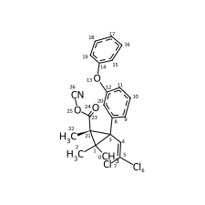 CC1(C)C(C=C(Cl)Cl)(c2cccc(Oc3ccccc3)c2)[C@@]1(C)C(=O)OC#N